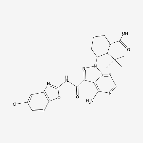 CC(C)(C)C1C(n2nc(C(=O)Nc3nc4cc(Cl)ccc4o3)c3c(N)ncnc32)CCCN1C(=O)O